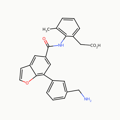 Cc1cccc(CC(=O)O)c1NC(=O)c1cc(-c2cccc(CN)c2)c2occc2c1